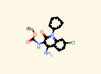 CC(C)(C)OC(=O)Nc1c(N)c2ccc(Cl)cc2n(-c2ccccc2)c1=O